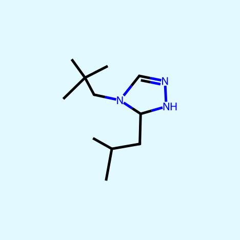 CC(C)CC1NN=CN1CC(C)(C)C